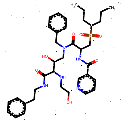 CCCC(CCC)S(=O)(=O)CC(NC(=O)c1cccnc1)C(=O)N(Cc1ccccc1)CC(O)C(NCCO)C(=O)NCCc1ccccc1